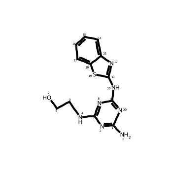 Nc1nc(NCCO)nc(Nc2nc3ccccc3s2)n1